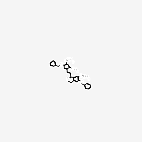 COc1cc(C)c(C=CC2=NCCc3cc(OCc4ccccc4)c(OC)cc32)cc1OCc1ccccc1